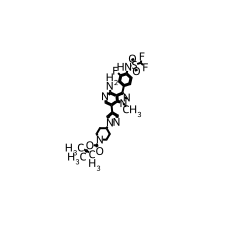 Cn1nc(-c2ccc(NS(=O)(=O)C(F)F)c(F)c2)c2c(N)ncc(-c3cnn(C4CCN(C(=O)OC(C)(C)C)CC4)c3)c21